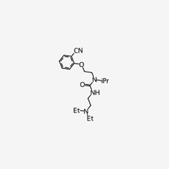 CCN(CC)CCNC(=O)N(CCOc1ccccc1C#N)C(C)C